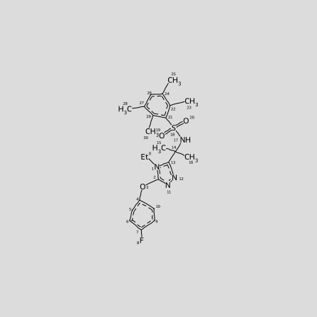 CCn1c(Oc2ccc(F)cc2)nnc1C(C)(C)NS(=O)(=O)c1c(C)c(C)cc(C)c1C